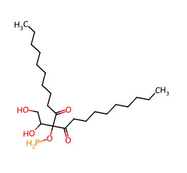 CCCCCCCCCC(=O)C(OP)(C(=O)CCCCCCCCC)C(O)CO